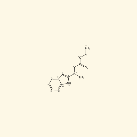 CCOC(=O)CN(C)c1cc2ccccc2[nH]1